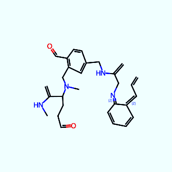 C=C/C=C1/C=CC=C/C1=N/CC(=C)NCc1ccc(C=O)c(CN(C)C(CCC=O)C(=C)NC)c1